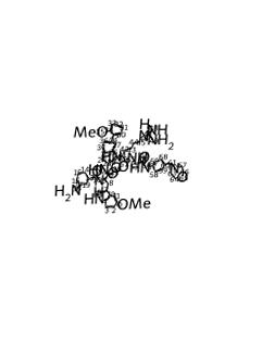 COc1ccc2[nH]cc(CC(NC(=O)C3CCCC(N)C3)C(=O)NC(Cc3ccc(-c4ccccc4OC)cc3)C(=O)NC(CCCCNC(=N)N)C(=O)NCC(=O)Nc3ccc(CN4CCOCC4)cc3)c2c1